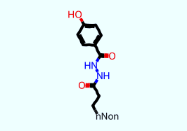 CCCCCCCCCCCC(=O)NNC(=O)c1ccc(O)cc1